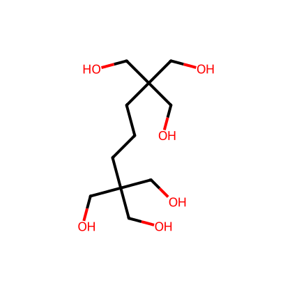 OCC(CO)(CO)CCCC(CO)(CO)CO